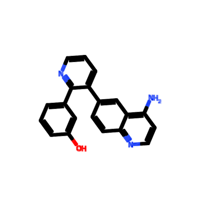 Nc1ccnc2ccc(-c3cccnc3-c3cccc(O)c3)cc12